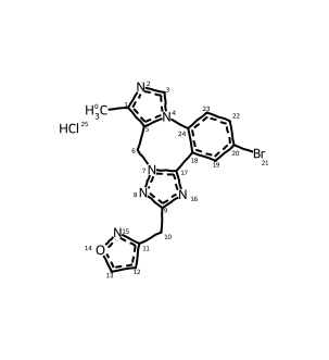 Cc1ncn2c1Cn1nc(Cc3ccon3)nc1-c1cc(Br)ccc1-2.Cl